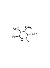 CC(=O)OC1[C@H](OC(C)=O)C(C)O[C@@H](Br)[C@H]1OC(C)=O